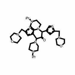 CC(C)N1CCN(C(C(=O)C(c2csc(CN3CCOCC3)c2)N2CCN(C(C)C)CC2)c2csc(CN3CCOCC3)c2)CC1